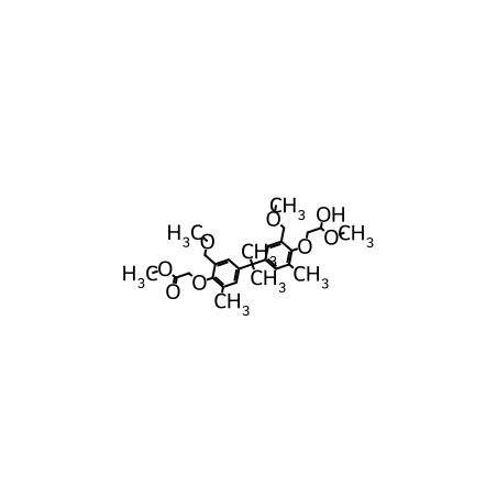 COCc1cc(C(C)(C)c2cc(C)c(OCC(O)OC)c(COC)c2)cc(C)c1OCC(=O)OC